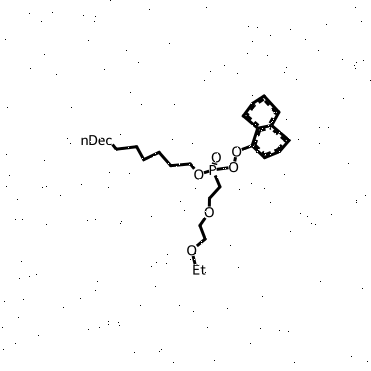 CCCCCCCCCCCCCCCCOP(=O)(CCOCCOCC)OOc1cccc2ccccc12